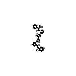 CN[C@@H](C(=O)N1CCC[C@H]1c1nc(-c2cnc([C@@H]3CCCN3C(=O)[C@H](NC)c3ccccc3)[nH]2)c[nH]1)c1ccccc1